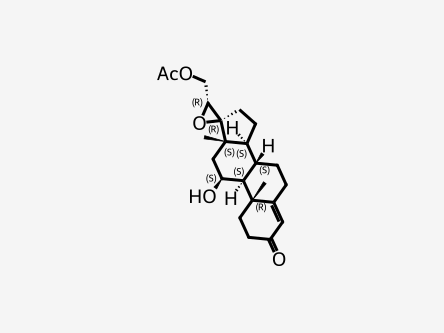 CC(=O)OC[C@H]1O[C@@]12CC[C@H]1[C@@H]3CCC4=CC(=O)CC[C@]4(C)[C@H]3[C@@H](O)C[C@@]12C